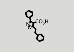 O=C(O)c1c(-c2ccccc2)noc1CCc1ccccc1